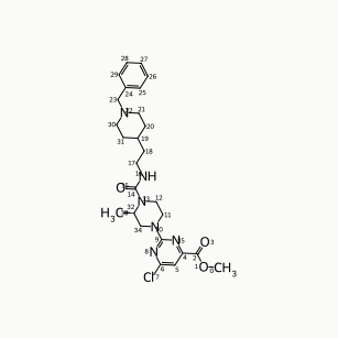 COC(=O)c1cc(Cl)nc(N2CCN(C(=O)NCCC3CCN(Cc4ccccc4)CC3)[C@H](C)C2)n1